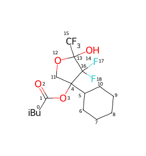 CCC(C)C(=O)OC1(C2CCCCC2)COC(O)(C(F)(F)F)C1(F)F